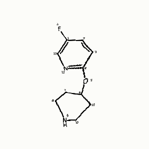 Fc1ccc(OC2CCNCC2)nc1